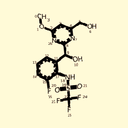 COc1cc(CO)nc(C(O)c2cccc(F)c2NS(=O)(=O)C(F)(F)F)n1